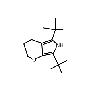 CC(C)(C)c1[nH]c(C(C)(C)C)c2c1CCCO2